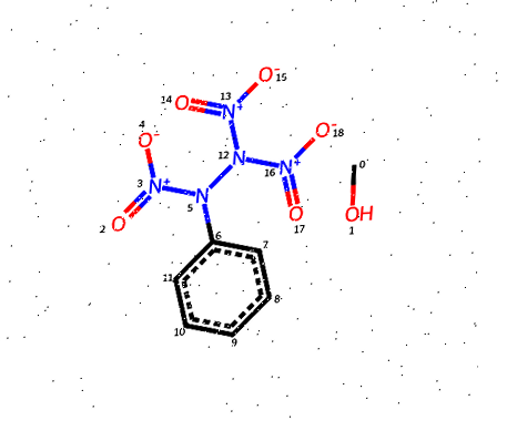 CO.O=[N+]([O-])N(c1ccccc1)N([N+](=O)[O-])[N+](=O)[O-]